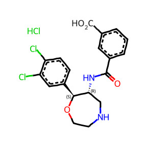 Cl.O=C(O)c1cccc(C(=O)N[C@@H]2CNCCO[C@H]2c2ccc(Cl)c(Cl)c2)c1